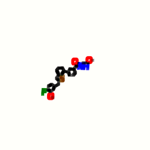 COCCNC(=O)c1cccc(-c2cccc3cc(Cc4ccc(F)c(OC)c4)sc23)c1